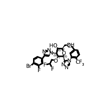 OC[C@H]1O[C@@H](c2nncn2-c2cc(Cl)ccc2C(F)(F)F)[C@H](OCC(F)F)[C@@H](n2cc(-c3ccc(Br)c(F)c3)nn2)[C@H]1O